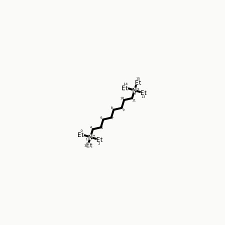 CC[N+](CC)(CC)CCCCCCCC[N+](CC)(CC)CC